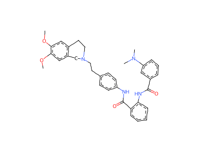 COc1cc2c(cc1OC)CN(CCc1ccc(NC(=O)c3ccccc3NC(=O)c3cccc(N(C)C)c3)cc1)CC2